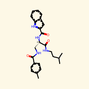 Cc1ccc(C(=O)NC[C@H](NC(=O)c2cc3ccccc3[nH]2)C(=O)N[CH]CC(C)C)cc1